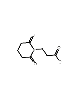 O=C(O)CCN1C(=O)CCCC1=O